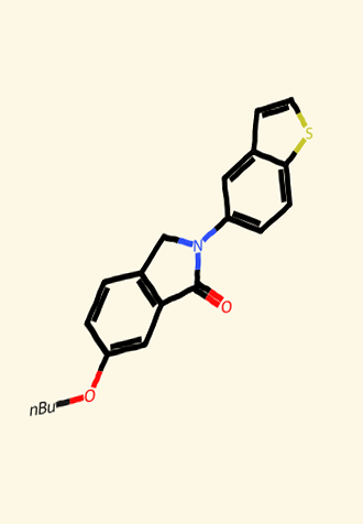 CCCCOc1ccc2c(c1)C(=O)N(c1ccc3sccc3c1)C2